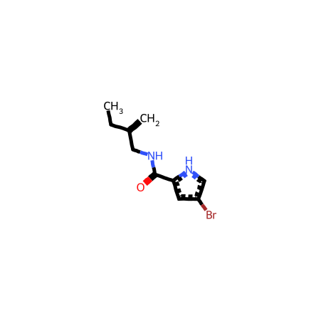 C=C(CC)CNC(=O)c1cc(Br)c[nH]1